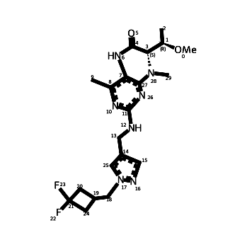 CO[C@H](C)[C@H]1C(=O)Nc2c(C)nc(NCc3cnn(CC4CC(F)(F)C4)c3)nc2N1C